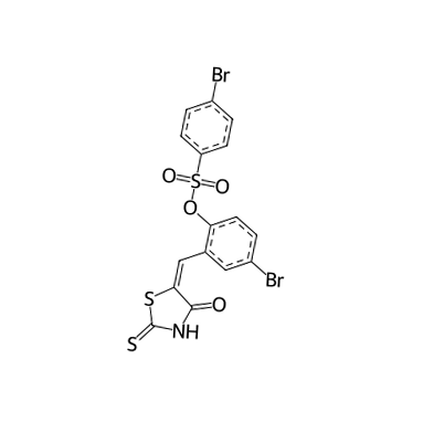 O=C1NC(=S)SC1=Cc1cc(Br)ccc1OS(=O)(=O)c1ccc(Br)cc1